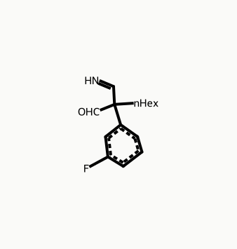 CCCCCCC(C=N)(C=O)c1cccc(F)c1